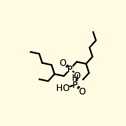 CCCCC(CC)CP(=O)(CC(CC)CCCC)O[PH](=O)O